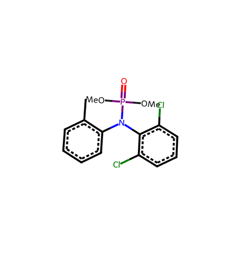 COP(=O)(OC)N(c1ccccc1C)c1c(Cl)cccc1Cl